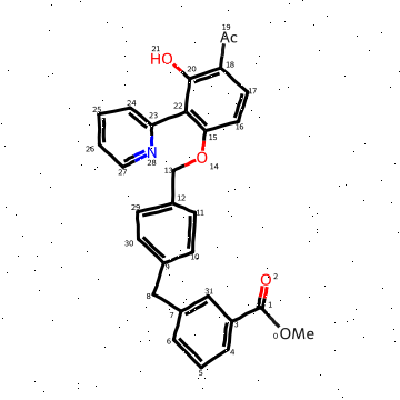 COC(=O)c1cccc(Cc2ccc(COc3ccc(C(C)=O)c(O)c3-c3ccccn3)cc2)c1